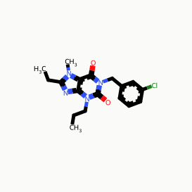 CCCn1c(=O)n(Cc2cccc(Cl)c2)c(=O)c2c1nc(CC)n2C